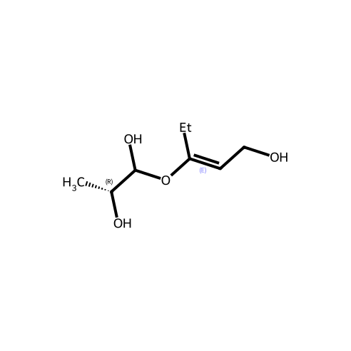 CC/C(=C\CO)OC(O)[C@@H](C)O